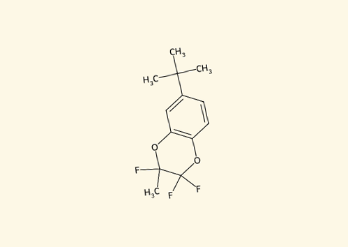 CC(C)(C)c1ccc2c(c1)OC(C)(F)C(F)(F)O2